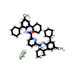 CC(=Nc1c(C2CCCCC2)cc(C)cc1C1CCCCC1)c1cccc(C(C)=Nc2c(C3CCCCC3)cc(C)cc2C2CCCCC2)n1.[Cl-].[Cl-].[Cl-].[V+3]